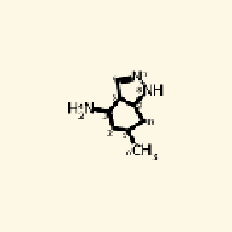 CC1CC(N)C2C=NNC2C1